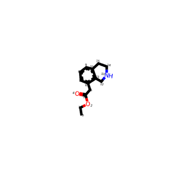 CCOC(=O)Cc1cccc2c1CNCC2